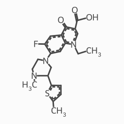 CCn1cc(C(=O)O)c(=O)c2cc(F)c(N3CCN(C)C(c4ccc(C)s4)C3)cc21